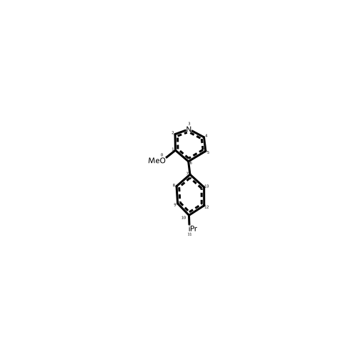 COc1cnccc1-c1ccc(C(C)C)cc1